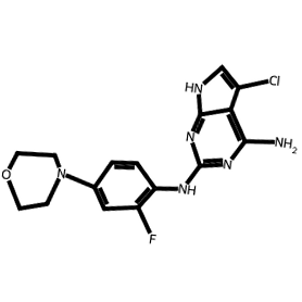 Nc1nc(Nc2ccc(N3CCOCC3)cc2F)nc2[nH]cc(Cl)c12